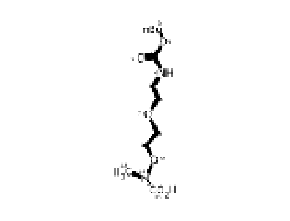 CCCCOC(=O)NCCOCCON(C)C(=O)O